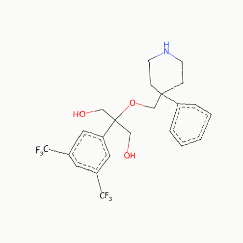 OCC(CO)(OCC1(c2ccccc2)CCNCC1)c1cc(C(F)(F)F)cc(C(F)(F)F)c1